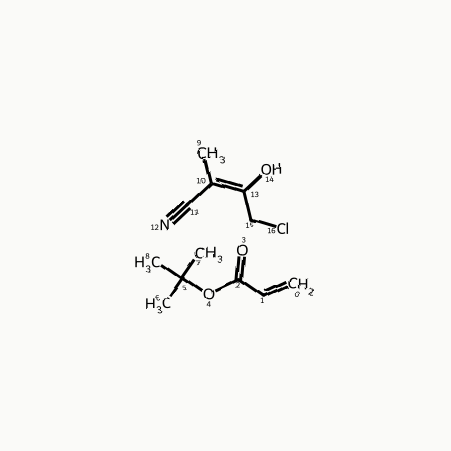 C=CC(=O)OC(C)(C)C.CC(C#N)=C(O)CCl